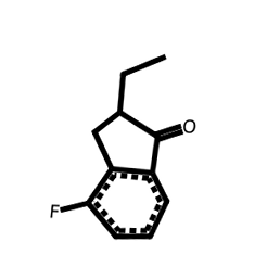 CCC1Cc2c(F)cccc2C1=O